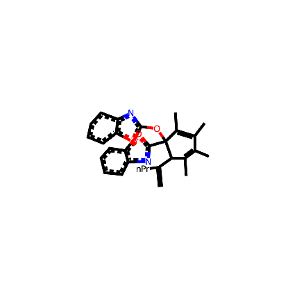 C=C(CCC)C1C(C)=C(C)C(C)=C(C)C1(Oc1nc2ccccc2o1)c1nc2ccccc2o1